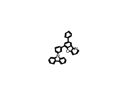 c1ccc(-c2cc(-c3cccc(-n4c5ccccc5c5ccccc54)c3)c3oc4cccnc4c3c2)cc1